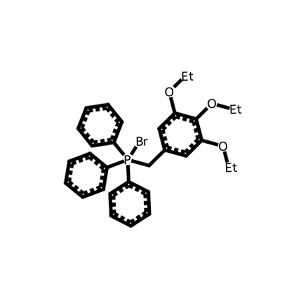 CCOc1cc(CP(Br)(c2ccccc2)(c2ccccc2)c2ccccc2)cc(OCC)c1OCC